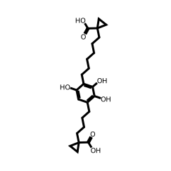 O=C(O)C1(CCCCCCc2c(O)cc(CCCCC3(C(=O)O)CC3)c(O)c2O)CC1